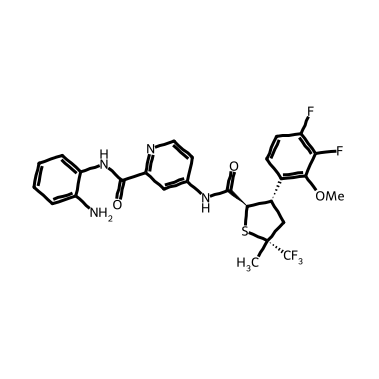 COc1c([C@@H]2C[C@](C)(C(F)(F)F)S[C@H]2C(=O)Nc2ccnc(C(=O)Nc3ccccc3N)c2)ccc(F)c1F